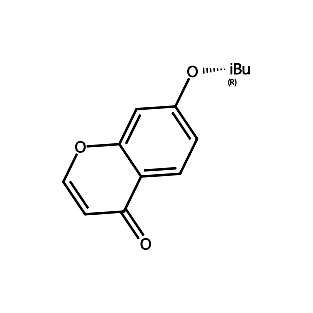 CC[C@@H](C)Oc1ccc2c(=O)ccoc2c1